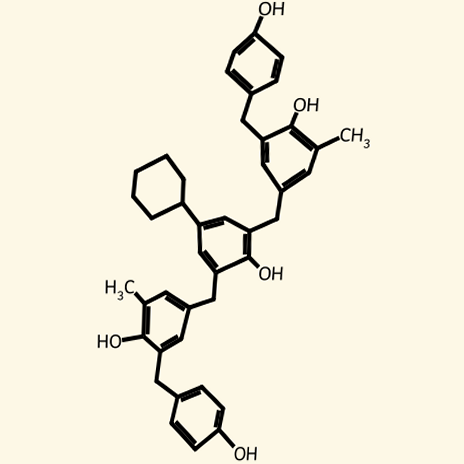 Cc1cc(Cc2cc(C3CCCCC3)cc(Cc3cc(C)c(O)c(Cc4ccc(O)cc4)c3)c2O)cc(Cc2ccc(O)cc2)c1O